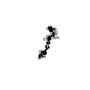 CCc1cc(Nc2ncc(Br)c(Nc3ccc4c(=O)n(C)ccc4c3P(C)(C)=O)n2)c(OC)cc1N1CCC(N2CCN(CCc3cccc4c3n(C)c(=O)n4C3CCC(=O)NC3=O)CC2)CC1